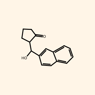 O=C1CCCC1C(O)c1ccc2ccccc2c1